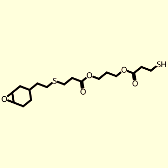 O=C(CCS)OCCCOC(=O)CCSCCC1CCC2OC2C1